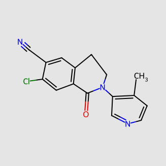 Cc1ccncc1N1CCc2cc(C#N)c(Cl)cc2C1=O